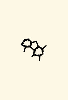 Cc1cccc2c1-c1c(C)c(C)nc(C)c1C2